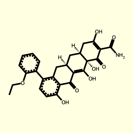 CCOc1ccccc1-c1ccc(O)c2c1C[C@H]1C[C@H]3CC(O)=C(C(N)=O)C(=O)[C@@]3(O)C(O)=C1C2=O